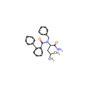 CC(C)CC(C(N)=O)N(Cc1ccccc1)C(=O)c1ccccc1-c1ccccc1